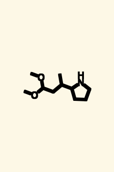 COC(CC(C)C1CCCN1)OC